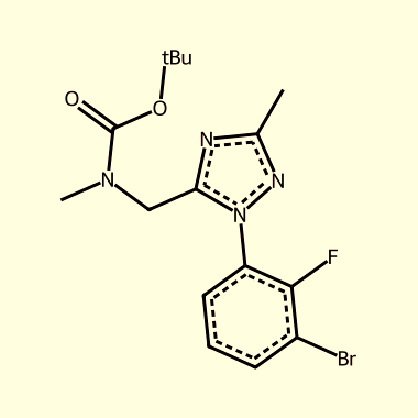 Cc1nc(CN(C)C(=O)OC(C)(C)C)n(-c2cccc(Br)c2F)n1